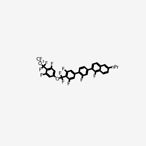 CCCc1ccc2c(F)c(-c3ccc(-c4cc(F)c(C(F)(F)Oc5cc(F)c(C(F)(F)OC(F)(F)F)c(F)c5)c(F)c4)c(F)c3)ccc2c1